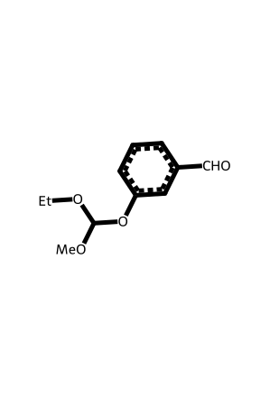 CCOC(OC)Oc1cccc(C=O)c1